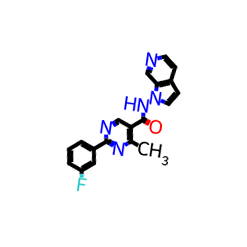 Cc1nc(-c2cccc(F)c2)ncc1C(=O)Nn1ccc2ccncc21